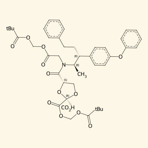 C[C@H]([C@H](CCc1ccccc1)c1ccc(Oc2ccccc2)cc1)N(CC(=O)OCOC(=O)C(C)(C)C)C(=O)[C@@H]1CO[C@@](C(=O)O)(C(=O)OCOC(=O)C(C)(C)C)O1